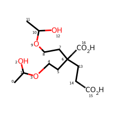 CC(O)OCCC(CCOC(C)O)(CCC(=O)O)C(=O)O